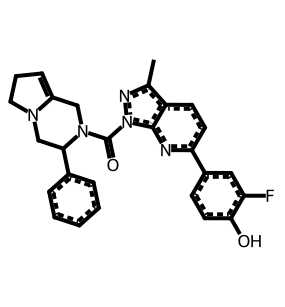 Cc1nn(C(=O)N2CC3=CCCN3CC2c2ccccc2)c2nc(-c3ccc(O)c(F)c3)ccc12